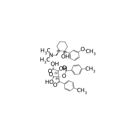 COc1cccc([C@@]2(O)CCCC[C@@H]2CN(C)C)c1.Cc1ccc(C(=O)O[C@@](C(=O)O)(C(=O)c2ccc(C)cc2)[C@H](O)C(=O)O)cc1